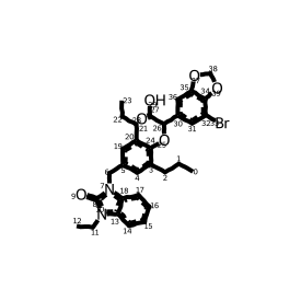 CCCc1cc(Cn2c(=O)n(CC)c3ccccc32)cc(CCC)c1OC(C(=O)O)c1cc(Br)c2c(c1)OCO2